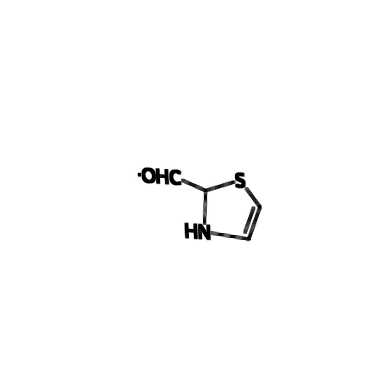 O=[C]C1NC=CS1